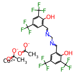 CC(=O)[O-].CC(=O)[O-].Oc1c(C=NCN=Cc2cc(C(F)(F)F)cc(C(F)(F)F)c2O)cc(C(F)(F)F)cc1C(F)(F)F.[Co+2]